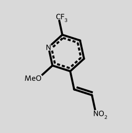 COc1nc(C(F)(F)F)ccc1C=C[N+](=O)[O-]